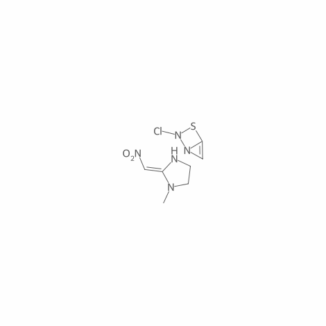 CN1CCNC1=C[N+](=O)[O-].ClN1SC2=CN21